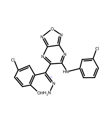 N/N=C(\c1cc(Cl)ccc1O)c1nc2nonc2nc1Nc1cccc(Cl)c1